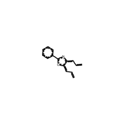 C=C/C=c1/nc(-c2ccccc2)o/c1=C/C=C